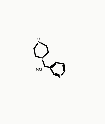 Cl.c1cncc(CN2CCNCC2)c1